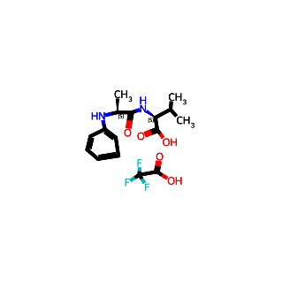 CC(C)[C@H](NC(=O)[C@H](C)Nc1ccccc1)C(=O)O.O=C(O)C(F)(F)F